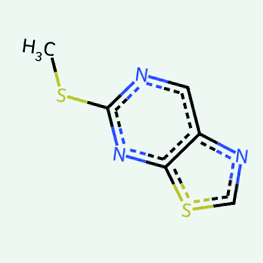 CSc1ncc2ncsc2n1